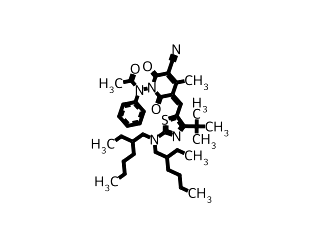 CCCCC(CC)CN(CC(CC)CCCC)c1nc(C(C)(C)C)c(/C=C2\C(=O)N(N(C(C)=O)c3ccccc3)C(=O)C(C#N)=C2C)s1